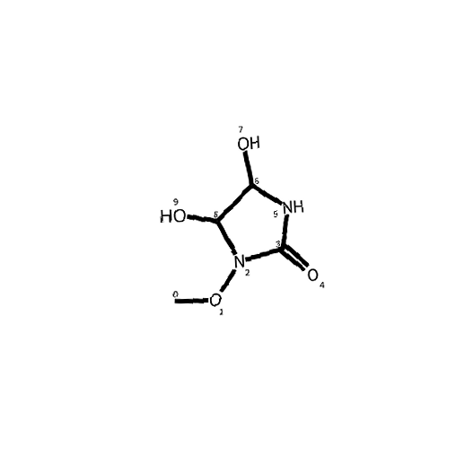 CON1C(=O)NC(O)C1O